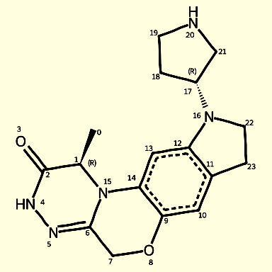 C[C@@H]1C(=O)NN=C2COc3cc4c(cc3N21)N([C@@H]1CCNC1)CC4